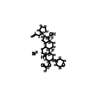 C=CC[N+]1([C@H]2CC3C4CC[C@H]5C[C@H](OC(C)=O)[C@@H](N6CCOCC6)C[C@]5(C)C4CC[C@]3(C)[C@H]2O)CCCC1.[Br-]